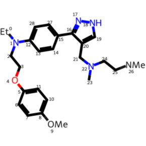 CCN(CCOc1ccc(OC)cc1)c1ccc(-c2n[nH]cc2CN(C)CCNC)cc1